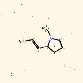 CO/C=C/[C@H]1CCCN1C